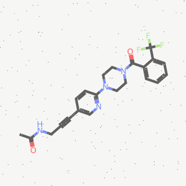 CC(=O)NCC#Cc1ccc(N2CCN(C(=O)c3ccccc3C(F)(F)F)CC2)nc1